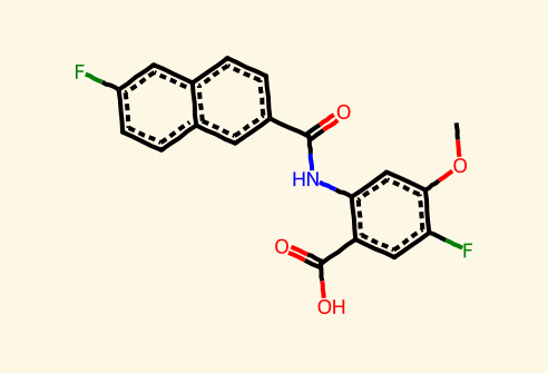 COc1cc(NC(=O)c2ccc3cc(F)ccc3c2)c(C(=O)O)cc1F